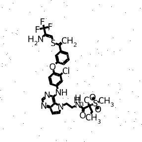 C=C(S/C=C(\N)C(F)(F)F)c1cccc(Oc2ccc(Nc3ncnc4ccn(CCNC(=O)C(C)(CC)S(C)(=O)=O)c34)cc2Cl)c1